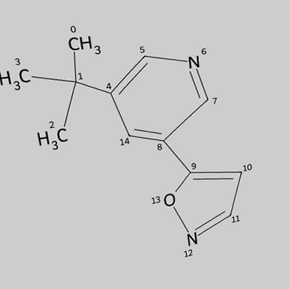 CC(C)(C)c1cncc(-c2ccno2)c1